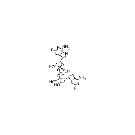 C#CC1(OC(=O)OC2(C#C)OC(n3cnc4c(N)nc(F)nc43)CC2O)OC(n2cnc3c(N)nc(F)nc32)CC1O